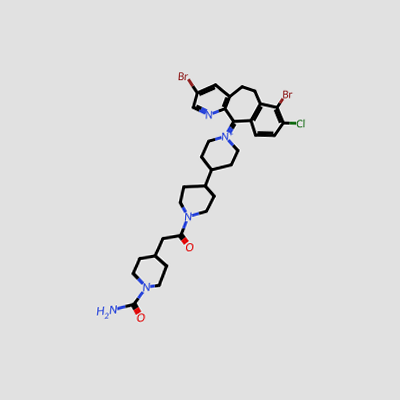 NC(=O)N1CCC(CC(=O)N2CCC(C3CC[N+](=C4c5ccc(Cl)c(Br)c5CCc5cc(Br)cnc54)CC3)CC2)CC1